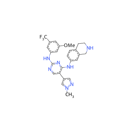 COc1cc(Nc2ncc(-c3cnn(C)c3)c(Nc3ccc4c(c3)CNCC4)n2)cc(C(F)(F)F)c1